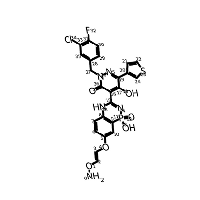 NO/C=C/Oc1ccc2c(c1)P(=O)(O)N=C(c1c(O)c(-c3ccsc3)nn(Cc3ccc(F)c(Cl)c3)c1=O)N2